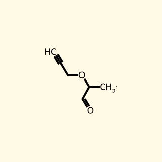 C#CCOC([CH2])C=O